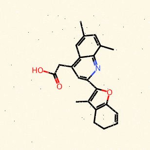 Cc1cc(C)c2nc(-c3oc4c(c3C)CCC=C4)cc(CC(=O)O)c2c1